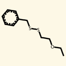 CCOCCSSCc1ccccc1